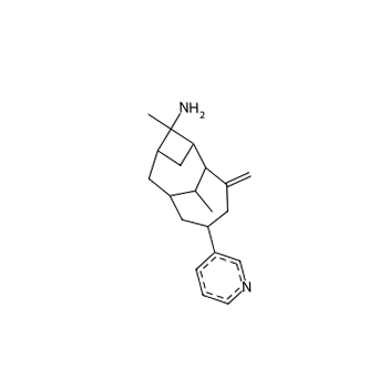 C=C1CC(c2cccnc2)CC2CC3CC(C1C2C)C3(C)N